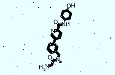 CN(Cc1cccc(-c2ccc(C(=O)N[C@H]3CC[C@H](O)CC3)nc2)c1)C(=O)CN